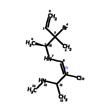 C=CC(C)(Br)[C@H](C)N/C=C(/Cl)C(C)NC